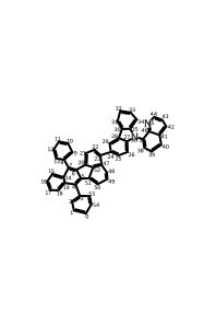 c1ccc(-c2c3c(c(-c4ccccc4)c4ccccc24)-c2ccc(-c4ccc5c(c4)c4ccccc4n5-c4cccc5cccnc45)c4cccc-3c24)cc1